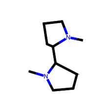 CN1CC[CH]C1C1CCCN1C